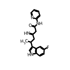 CC(CC(=N)CC(=O)Nc1ccccn1)c1c[nH]c2ccc(F)cc12